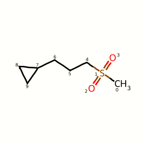 CS(=O)(=O)CCCC1[CH]C1